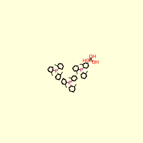 Cc1ccccc1P(c1ccccc1C)c1ccccc1C.Cc1ccccc1P(c1ccccc1C)c1ccccc1C.Cc1ccccc1P(c1ccccc1C)c1ccccc1C.OB(O)O